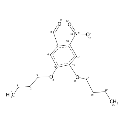 CCCCOc1cc(C=O)c([N+](=O)[O-])cc1OCCCC